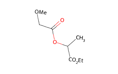 CCOC(=O)C(C)OC(=O)COC